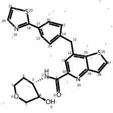 O=C(N[C@H]1CCOC[C@@H]1O)c1cc(Cc2ccc(-c3nccs3)cc2)c2sccc2n1